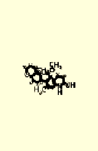 COC(=O)c1c2c(cc(C)c1C1CCC3OCCCC3(C)C1)NC(O)CC2